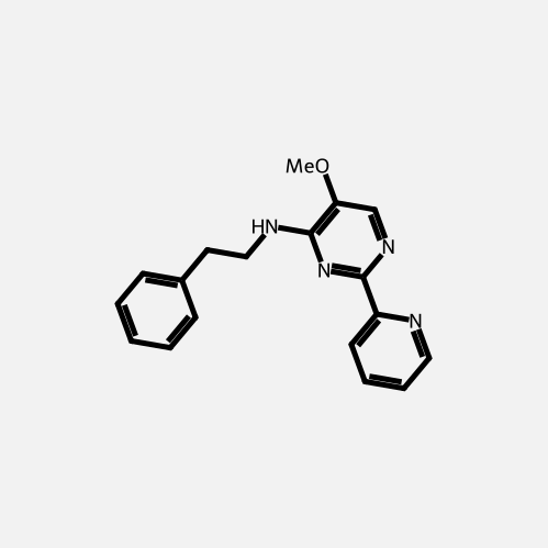 COc1cnc(-c2ccccn2)nc1NCCc1ccccc1